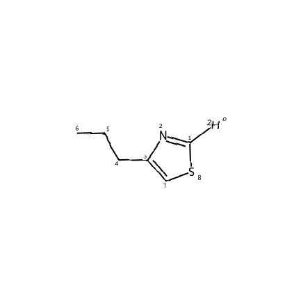 [2H]c1nc(CCC)cs1